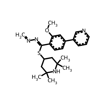 C=N/N=C(\SC1CC(C)(C)NC(C)(C)C1)c1ccc(-c2cccnc2)cc1OC